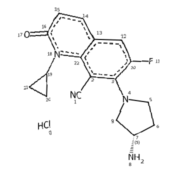 Cl.N#Cc1c(N2CC[C@H](N)C2)c(F)cc2ccc(=O)n(C3CC3)c12